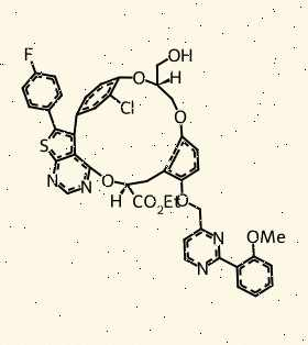 CCOC(=O)[C@H]1Cc2cc(ccc2OCc2ccnc(-c3ccccc3OC)n2)OC[C@@H](CO)Oc2ccc(cc2Cl)-c2c(-c3ccc(F)cc3)sc3ncnc(c23)O1